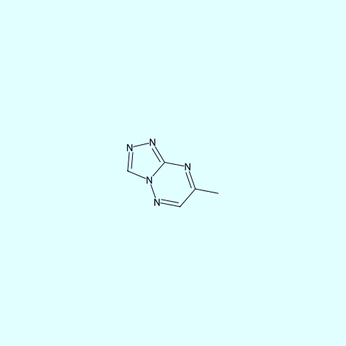 Cc1cnn2cnnc2n1